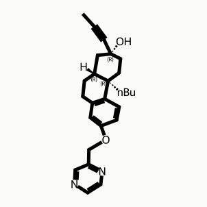 CC#C[C@@]1(O)CC[C@@]2(CCCC)c3ccc(OCc4cnccn4)cc3CC[C@@H]2C1